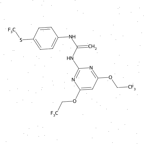 C=C(Nc1ccc(SC(F)(F)F)cc1)Nc1nc(OCC(F)(F)F)cc(OCC(F)(F)F)n1